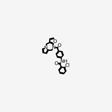 O=C(Nc1ccc(C(=O)N2Cc3cccn3Cc3ccoc32)cc1)c1ccccc1Cl